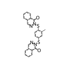 Cc1cc(Sn2ncc3ccccc3c2=O)ccc1Sn1ncc2ccccc2c1=O